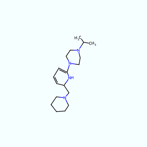 CC(C)N1CCN(C2=[C]C=CC(CN3CCCCC3)N2)CC1